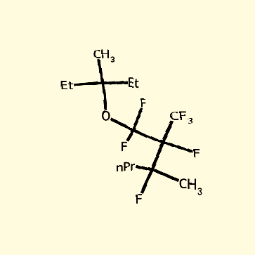 CCCC(C)(F)C(F)(C(F)(F)F)C(F)(F)OC(C)(CC)CC